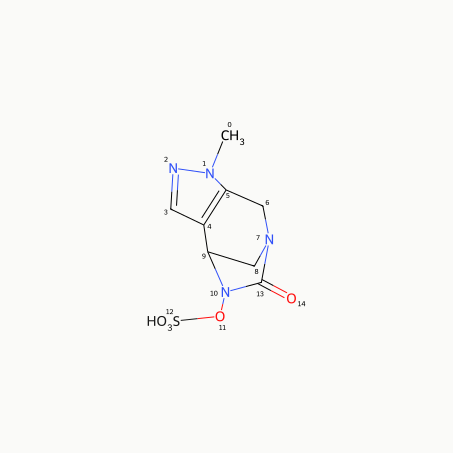 Cn1ncc2c1CN1CC2N(OS(=O)(=O)O)C1=O